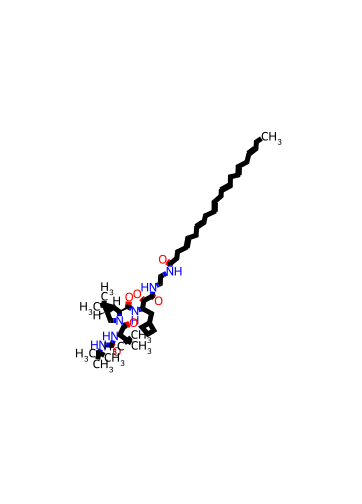 CCC=CCC=CCC=CCC=CCC=CCC=CCCC(=O)NCCNC(=O)C(=O)C(CC1CCC1)NC(=O)[C@@H]1[C@H]2[C@@H](CN1C(=O)[C@H](NC(=O)NC(C)(C)C)C(C)(C)C)C2(C)C